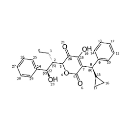 CC[C@H](C1OC(=O)C([C@@H](c2ccccc2)C2CC2)=C(O)C1=O)[C@@H](O)c1ccccc1